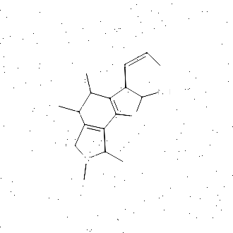 C/C=C\C1C2=C(OC1N)C1=C(CN(C)C1C)C(C)C2C